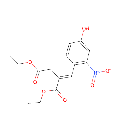 CCOC(=O)C/C(=C\c1ccc(O)cc1[N+](=O)[O-])C(=O)OCC